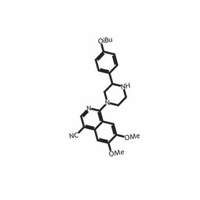 COc1cc2c(C#N)cnc(N3CCNC(c4ccc(OCC(C)C)cc4)C3)c2cc1OC